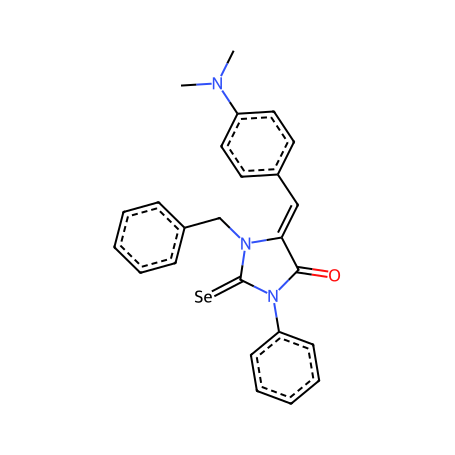 CN(C)c1ccc(C=C2C(=O)N(c3ccccc3)C(=[Se])N2Cc2ccccc2)cc1